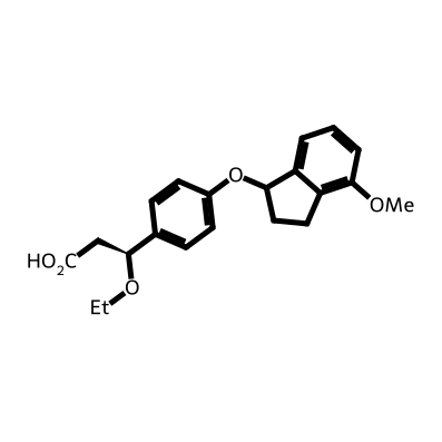 CCO[C@@H](CC(=O)O)c1ccc(OC2CCc3c(OC)cccc32)cc1